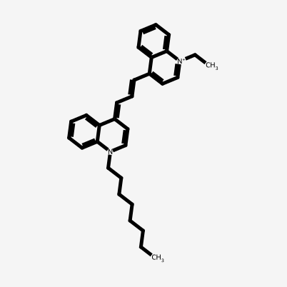 CCCCCCCCN1C=C/C(=C\C=C\c2cc[n+](CC)c3ccccc23)c2ccccc21